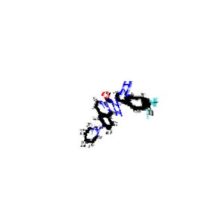 O=C(Nc1c[nH]c2cc(F)c(F)cc12)N1CCc2cc(N3CCCCC3)ccc2C1